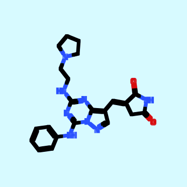 O=C1C/C(=C\c2cnn3c(Nc4ccccc4)nc(NCCN4CCCC4)nc23)C(=O)N1